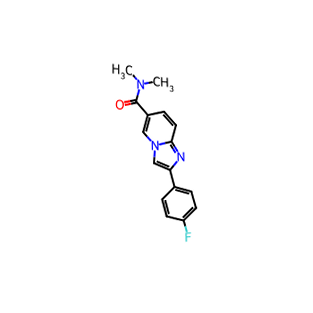 CN(C)C(=O)c1ccc2nc(-c3ccc(F)cc3)cn2c1